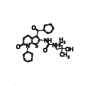 CC(C)(O)CNC(=O)Nc1sc2c(ccc(=O)n2-c2ccccc2)c1C(=O)c1ccccc1